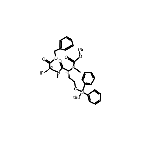 CC(C)[C@@H](C(=O)OCc1ccccc1)N(C)C(=O)[C@H](CCO[Si](c1ccccc1)(c1ccccc1)C(C)(C)C)N(C)C(=O)OC(C)(C)C